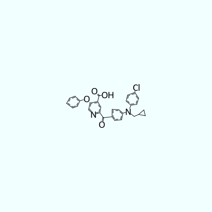 O=C(c1ccc(N(CC2CC2)c2ccc(Cl)cc2)cc1)c1cc(C(=O)O)c(Oc2ccccc2)cn1